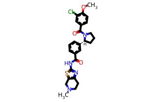 COc1ccc(C(=O)N2CCC[C@@H]2c2cccc(C(=O)Nc3nc4c(s3)CN(C)CC4)c2)cc1Cl